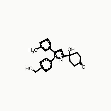 Cc1cccc(-c2cc(C3(O)CCC(=O)CC3)nn2-c2ccc(CO)cc2)c1